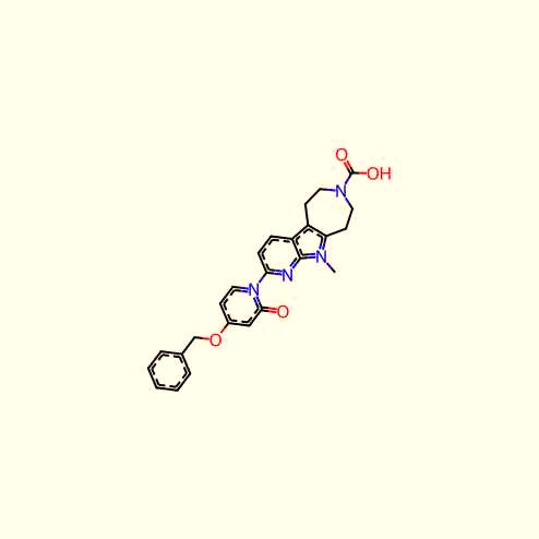 Cn1c2c(c3ccc(-n4ccc(OCc5ccccc5)cc4=O)nc31)CCN(C(=O)O)CC2